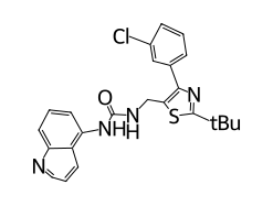 CC(C)(C)c1nc(-c2cccc(Cl)c2)c(CNC(=O)Nc2cccc3ncccc23)s1